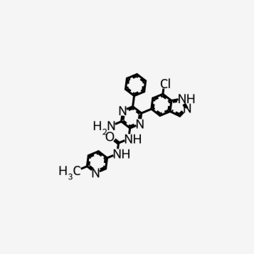 Cc1ccc(NC(=O)Nc2nc(-c3cc(Cl)c4[nH]ncc4c3)c(-c3ccccc3)nc2N)cn1